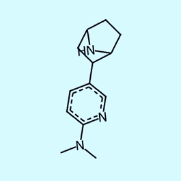 CN(C)c1ccc(C2CC3CCC2N3)cn1